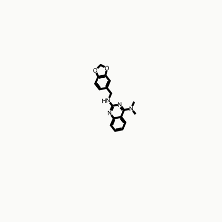 CN(C)c1nc(NCc2ccc3c(c2)OCO3)nc2ccccc12